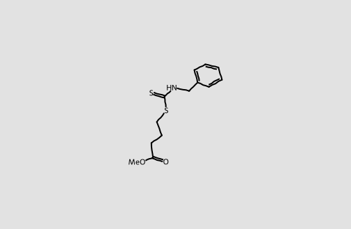 COC(=O)CCCSC(=S)NCc1ccccc1